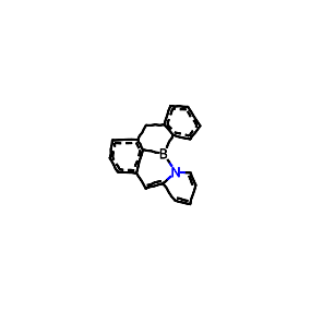 C1=CC2=Cc3cccc4c3B(c3ccccc3C4)N2C=C1